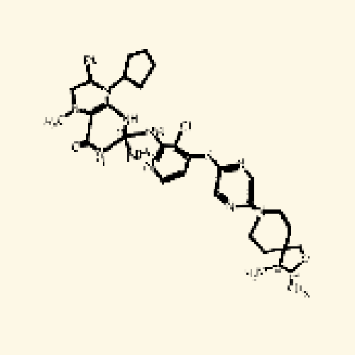 CCC1CN(C)C2=C(N[C@](N)(Nc3nccc(Sc4cnc(N5CCC6(CC5)CO[C@@H](C)[C@H]6N)cn4)c3Cl)NC2=O)N1C1CCCC1